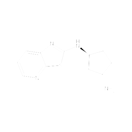 N[C@H]1CC[C@H](Nc2nc3cccnc3s2)C1